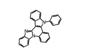 c1ccc(-n2c3ccccc3c3c2c2ccccc2n2c4ccccc4nc32)cc1